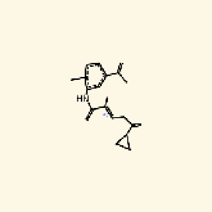 C=C(Nc1cc(C(=C)C)ccc1C)/C(C)=C/CC(=C)C1CC1